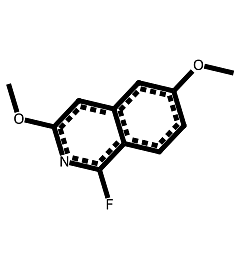 COc1ccc2c(F)nc(OC)cc2c1